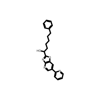 OC(CCCCCc1ccccc1)c1nc2ncc(-c3ccccn3)cc2o1